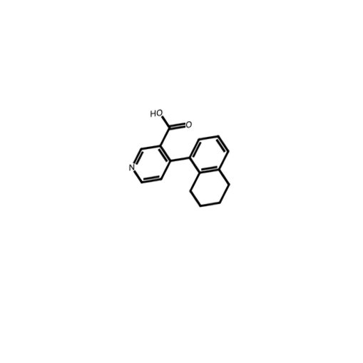 O=C(O)c1cnccc1-c1cccc2c1CCCC2